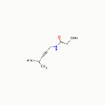 CCCCCCC(C)C#CCNC(=O)COC